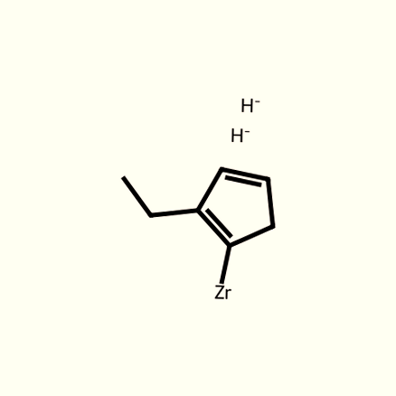 CCC1=[C]([Zr])CC=C1.[H-].[H-]